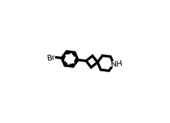 Brc1ccc(C2CC3(CCNCC3)C2)cc1